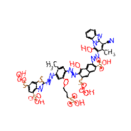 Cc1cc(N=Nc2c(SOOO)cc3cc(S(=O)(=O)O)c(N=Nc4c(C)c(C#N)c5nc6ccccc6n5c4O)cc3c2O)c(OCCCS(=O)(=O)O)cc1N=Nc1nc2c(S(=O)(=O)O)cc(SOOO)cc2s1